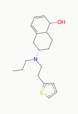 CCCN(CCc1cccs1)[C@H]1CCC2C(=CC=CC2O)C1